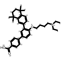 CCN(CC)CCCCOc1ccc(-c2ccc(C(=O)O)cc2)cc1-c1ccc2c(c1)C(C)(C)CCC2(C)C